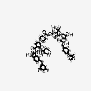 Cc1ncsc1-c1ccc(CNC(=O)[C@@H]2C[C@@H](O)CN2C(=O)[C@@H](NC(=O)CCC(=O)N2CCN(c3ccc(C(=O)Nc4n[nH]c5ccc(Cc6cc(F)cc(F)c6)cc45)c(NC4CCOCC4)c3)CC2)C(C)(C)C)cc1